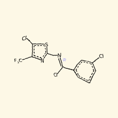 FC(F)(F)c1nc(/N=C(\Cl)c2cccc(Cl)c2)sc1Cl